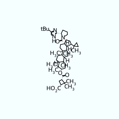 CC(C)(C)c1c[nH]c([C@@H]2CCCN2C(=O)[C@]23CCC(C4(C)CC4)[C@@H]2[C@H]2CC[C@@H]4C5(C)CC[C@H](OC(=O)[C@H]6C[C@@H](C(=O)O)C6(C)C)C(C)(C)[C@@H]5CC[C@@]4(C)[C@]2(C)CC3)n1